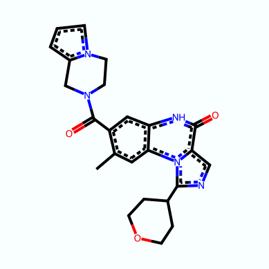 Cc1cc2c(cc1C(=O)N1CCn3cccc3C1)[nH]c(=O)c1cnc(C3CCOCC3)n12